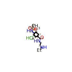 CCNCCNC(=O)c1ccc(NS(C)(=O)=O)cc1.Cl